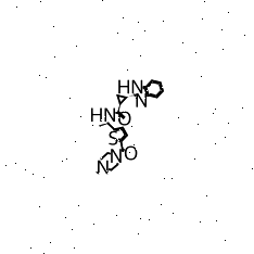 C[C@@H](NC(=O)[C@H]1C[C@@H]1c1nc2ccccc2[nH]1)c1ccc(C(=O)N2CCN(C)CC2)s1